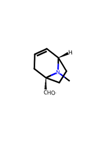 CN1[C@@H]2C=CC[C@@]1([C]=O)CC2